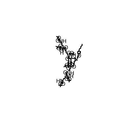 CCCCCc1ccc(OCCN(CCCNC(=O)[C@H](CCCCNC(=O)[C@H](CCCCNC(=O)OC(C)(C)C)NC(=O)OC(C)(C)C)NC(=O)OC(C)(C)C)CCCNC(=O)[C@H](CCCCNC(=O)[C@H](CCCCNC(=O)OC(C)(C)C)NC(=O)OC(C)(C)C)NC(=O)OC(C)(C)C)cc1